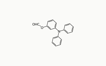 O=COc1cccc(N(c2ccccc2)c2ccccc2)c1